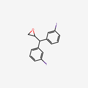 Ic1cccc(C(c2cccc(I)c2)C2CO2)c1